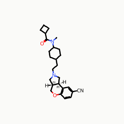 CN(C(=O)C1CCC1)C1CCC(CCN2C[C@H]3COc4ccc(C#N)cc4[C@@H]3C2)CC1